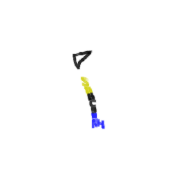 C1CC1.N=C=S